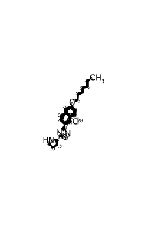 CCCCCCCOc1ccc2cc(-c3noc([C@@H]4CCCN4)n3)ccc2c1.Cl